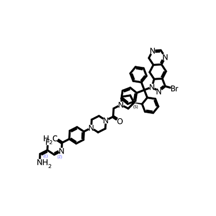 C=C(/N=C\C(F)=C/N)c1ccc(N2CCN(C(=O)CN3CC[C@@H](C4C=CC=CC4C(c4ccccc4)(c4ccccc4)N4N=C(Br)C5=CC6=NC=NCC6CC54)C3)CC2)cc1